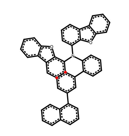 c1cc(-c2ccccc2N(c2cccc3c2oc2ccccc23)c2cccc3c2oc2ccccc23)cc(-c2cccc3ccccc23)c1